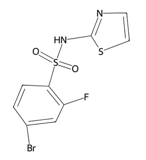 O=S(=O)(Nc1nccs1)c1ccc(Br)cc1F